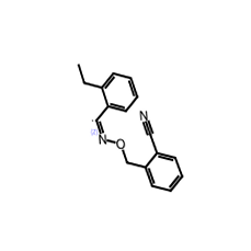 CCc1ccccc1/[C]=N\OCc1ccccc1C#N